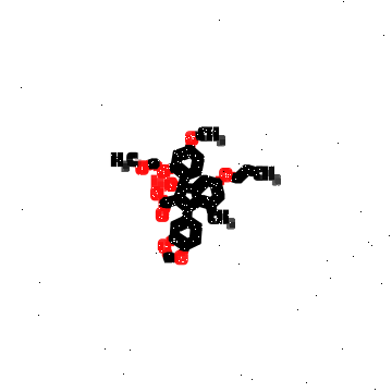 CCCOc1cc(C)c2c(c1)C(O)(c1ccc(OC)cc1OCOC)C(C(=O)O)=C2c1ccc2c(c1)OCO2